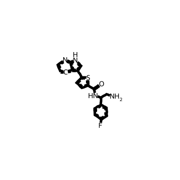 NCC(NC(=O)c1ccc(-c2c[nH]c3ncccc23)s1)c1ccc(F)cc1